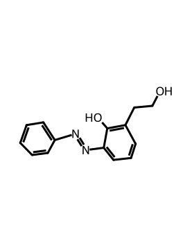 OCCc1cccc(N=Nc2ccccc2)c1O